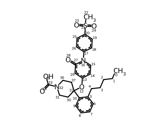 CCCCCc1ccccc1C1(Oc2ccn(-c3ccc(S(C)(=O)=O)cc3)c(=O)c2)CCN(C(=O)O)CC1